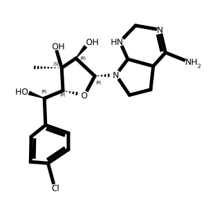 C[C@@]1(O)[C@@H]([C@H](O)c2ccc(Cl)cc2)O[C@@H](N2CCC3C(N)=NCNC32)[C@@H]1O